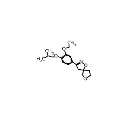 CCOc1cc(C2=NOC3(CCOC3)C2)ccc1OCC(C)C